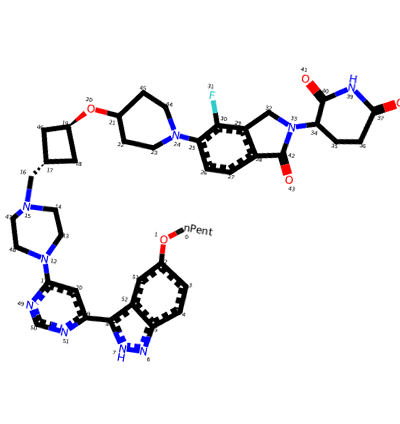 CCCCCOc1ccc2n[nH]c(-c3cc(N4CCN(C[C@H]5C[C@H](OC6CCN(c7ccc8c(c7F)CN(C7CCC(=O)NC7=O)C8=O)CC6)C5)CC4)ncn3)c2c1